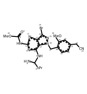 CCCC(N)Nc1nc(NC(=O)OC)nc2c(Br)nn(Cc3ccc(CC#N)cc3OC)c12